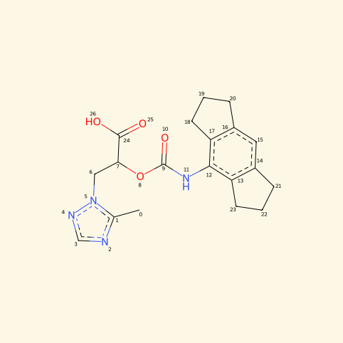 Cc1ncnn1CC(OC(=O)Nc1c2c(cc3c1CCC3)CCC2)C(=O)O